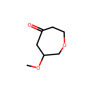 COC1COCCC(=O)C1